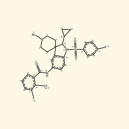 CC(=O)N1CCC2(CC1)c1cc(NC(=O)c3cccc(F)c3C(F)(F)F)ccc1N(S(=O)(=O)c1ccc(F)cc1)C2C1CC1